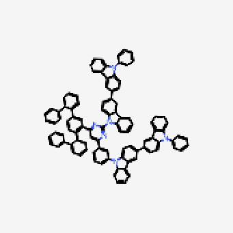 c1ccc(-c2ccccc2-c2ccc(-c3ccccc3-c3ccccc3)c(-c3cc(-c4cccc(-n5c6ccccc6c6cc(-c7ccc8c(c7)c7ccccc7n8-c7ccccc7)ccc65)c4)nc(-n4c5ccccc5c5cc(-c6ccc7c(c6)c6ccccc6n7-c6ccccc6)ccc54)n3)c2)cc1